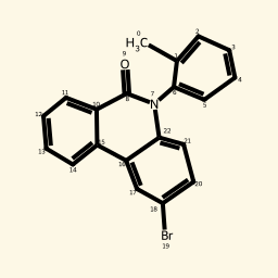 Cc1ccccc1-n1c(=O)c2ccccc2c2cc(Br)ccc21